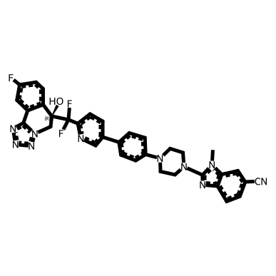 Cn1c(N2CCN(c3ccc(-c4ccc(C(F)(F)[C@]5(O)Cn6nnnc6-c6cc(F)ccc65)nc4)cc3)CC2)nc2ccc(C#N)cc21